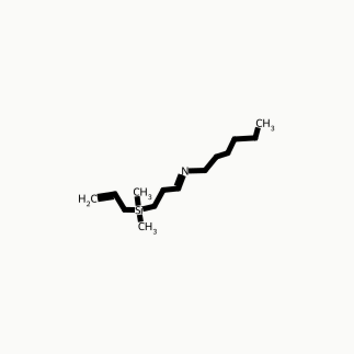 C=CC[Si](C)(C)CCC=NCCCCCC